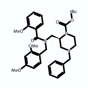 COc1ccc(CN(C[C@@H]2CN(Cc3ccccc3)CCN2C(=O)OC(C)(C)C)C(=O)c2ccccc2OC)c(OC)c1